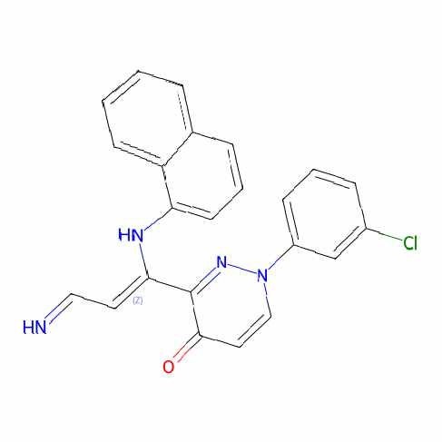 N=C/C=C(\Nc1cccc2ccccc12)c1nn(-c2cccc(Cl)c2)ccc1=O